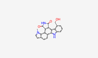 Cn1ccc2ccc3c4[nH]c5cccc(CO)c5c4c4c(c3c21)C(=O)NC4=O